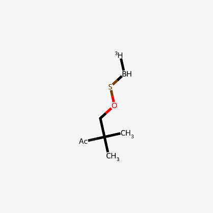 [3H]BSOCC(C)(C)C(C)=O